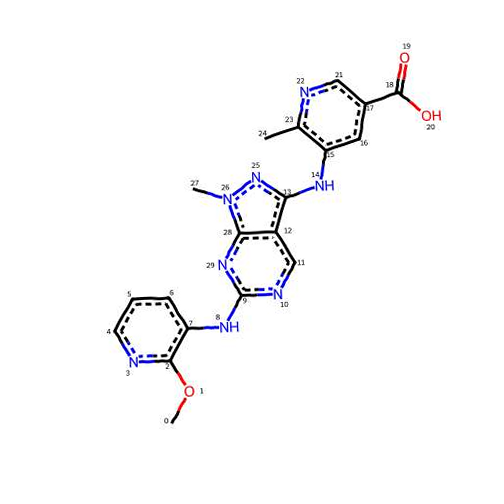 COc1ncccc1Nc1ncc2c(Nc3cc(C(=O)O)cnc3C)nn(C)c2n1